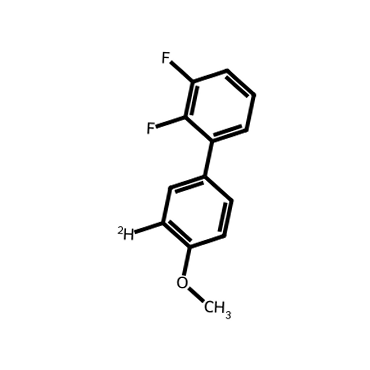 [2H]c1cc(-c2cccc(F)c2F)ccc1OC